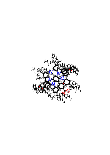 COC(=O)c1ccc(-c2c(-n3c4ccc(C(C)(C)C)cc4c4cc(C(C)(C)C)ccc43)c(-n3c4ccc(C(C)(C)C)cc4c4cc(C(C)(C)C)ccc43)c(C#N)c(-n3c4ccc(C(C)(C)C)cc4c4cc(C(C)(C)C)ccc43)c2-n2c3ccc(C(C)(C)C)cc3c3cc(C(C)(C)C)ccc32)cc1